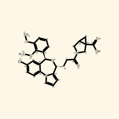 COc1cccc([C@H]2O[C@H](CCC(=O)N3CC4CC4(C(=O)O)C3)c3cccn3-c3ccc(Cl)cc32)c1OC